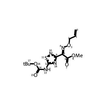 C=CCON=C(C(=O)OC)c1nsc(NC(=O)OC(C)(C)C)n1